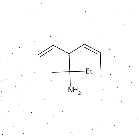 C=CC(/C=C\C)C(C)(N)CC